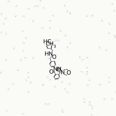 C#C/C=C(\C=C/C)CNC(=O)Cc1ccc(NC(=O)c2ccccc2C(=O)N2CCOCC2)cc1